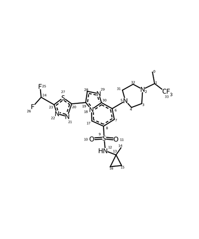 CC(N1CCN(c2cc(S(=O)(=O)NC3(C)CC3)cn3c(-c4nnc(C(F)F)s4)cnc23)CC1)C(F)(F)F